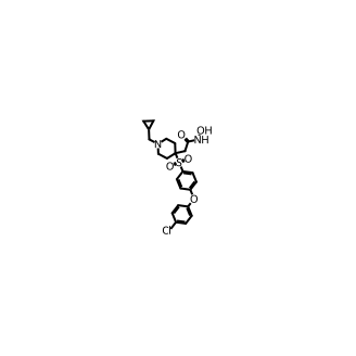 O=C(CC1(S(=O)(=O)c2ccc(Oc3ccc(Cl)cc3)cc2)CCN(CC2CC2)CC1)NO